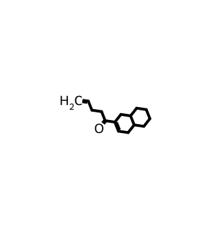 C=CCCC(=O)C1=CCC2CCCCC2C1